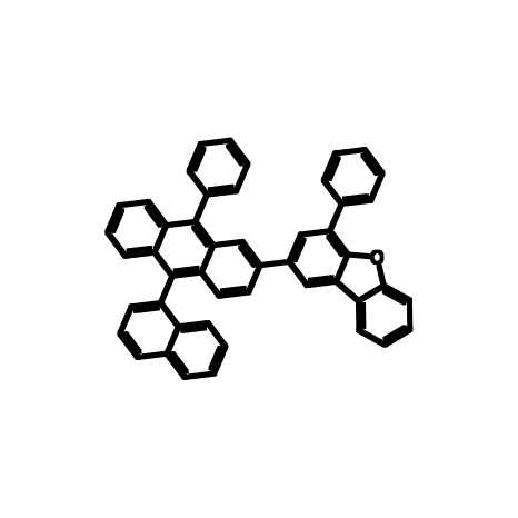 c1ccc(-c2c3ccccc3c(-c3cccc4ccccc34)c3ccc(-c4cc(-c5ccccc5)c5oc6ccccc6c5c4)cc23)cc1